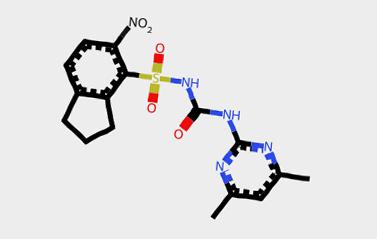 Cc1cc(C)nc(NC(=O)NS(=O)(=O)c2c([N+](=O)[O-])ccc3c2CCC3)n1